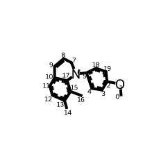 COc1ccc(N2CC=Cc3ccc(C)c(C)c32)cc1